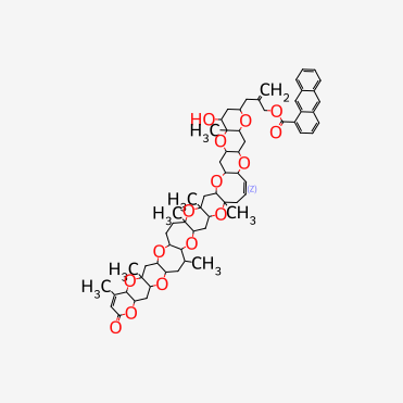 C=C(COC(=O)c1cccc2cc3ccccc3cc12)CC1CC(O)C2(C)OC3CC4OC5CC6(C)OC7(C)CCC8OC9CC%10(C)OC%11C(C)=CC(=O)OC%11CC%10OC9CC(C)C8OC7CC6OC5(C)C/C=C\C4OC3CC2O1